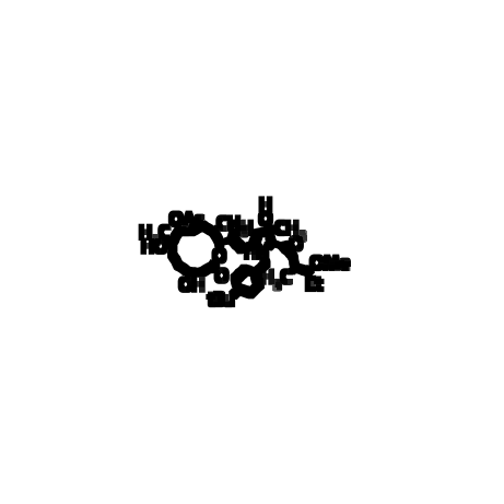 CC[C@H](OC)[C@@H](C)[C@H]1O[C@@H]1C(NCc1ccc(C(C)(C)C)cc1)C(C)(O)/C=C/C=C(\C)[C@H]1OC(=O)C[C@H](O)CC[C@@](C)(O)[C@@H](OC(C)=O)/C=C/[C@@H]1C